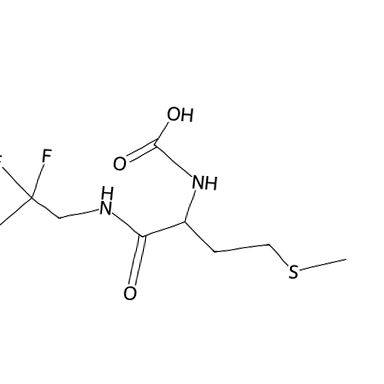 CSCCC(NC(=O)O)C(=O)NCC(F)(F)F